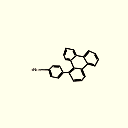 CCCCCCCCCc1ccc(-c2cccc3c4ccccc4c4ccccc4c23)cc1